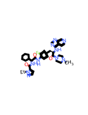 CCn1nccc1C(=O)NC(C(=O)Nc1ccc(C[C@@H](Nc2ncnc3cnccc23)C(=O)N2CCN(C)CC2)cc1F)C1CCCCC1